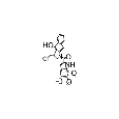 COc1cc2cc(C(=O)N3CC(CCl)c4c3cc3ccccc3c4O)[nH]c2c(OC)c1OC